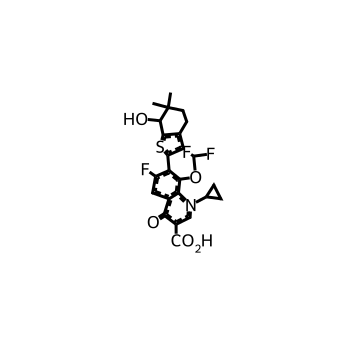 CC1(C)CCc2cc(-c3c(F)cc4c(=O)c(C(=O)O)cn(C5CC5)c4c3OC(F)F)sc2C1O